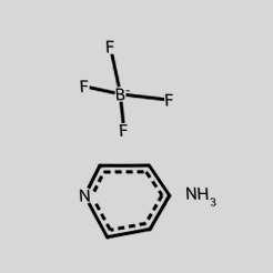 F[B-](F)(F)F.N.c1ccncc1